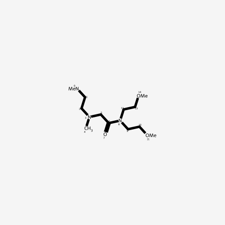 CNCCN(C)CC(=O)N(CCOC)CCOC